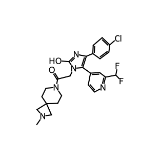 CN1CC2(CCN(C(=O)Cn3c(O)nc(-c4ccc(Cl)cc4)c3-c3ccnc(C(F)F)c3)CC2)C1